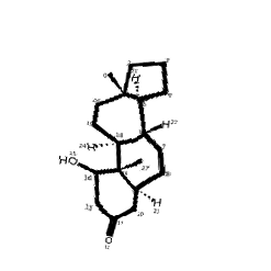 C[C@@]12CCC[C@H]1[C@@H]1CC[C@H]3CC(=O)CC(O)[C@]3(C)[C@H]1CC2